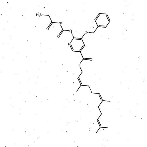 CC(C)=CCCC(C)=CCCC(C)=CCOC(=O)c1cnc(OC(=O)NC(=O)CN)c(OCc2ccccc2)c1